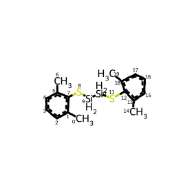 Cc1cccc(C)c1S[SiH2][SiH2]Sc1c(C)cccc1C